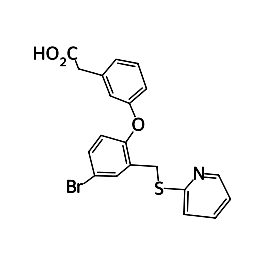 O=C(O)Cc1cccc(Oc2ccc(Br)cc2CSc2ccccn2)c1